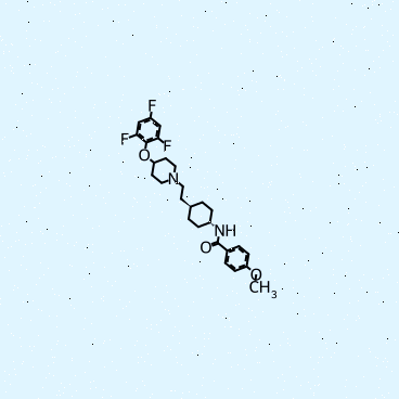 COc1ccc(C(=O)N[C@H]2CC[C@H](CCN3CCC(Oc4c(F)cc(F)cc4F)CC3)CC2)cc1